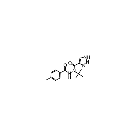 Cc1ccc(C(=O)NN(C(=O)c2c[nH]nn2)C(C)(C)C)cc1